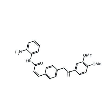 COc1ccc(NCc2ccc(/C=C\C(=O)Nc3ccccc3N)cc2)cc1OC